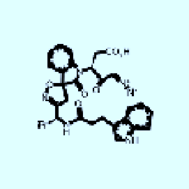 CC(C)[C@H](NC(=O)CCc1c[nH]c2ccccc12)C1=NOC(C(=O)N(C)[C@@H](CC(=O)O)C(=O)C=[N+]=[N-])(c2ccccc2)C1